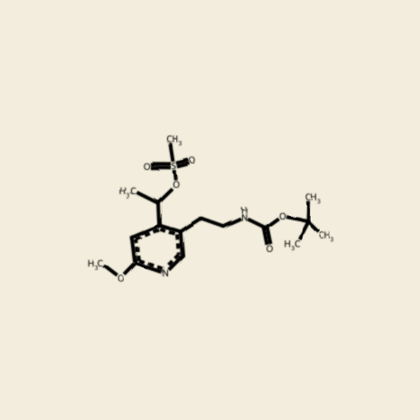 COc1cc(C(C)OS(C)(=O)=O)c(CCNC(=O)OC(C)(C)C)cn1